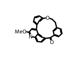 COc1cc2c3cc(ccc3n1)C(=O)c1cccc(c1)CCOc1cccc-2c1